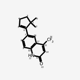 CC1(C)CCC=C1c1ccc2[nH]c(=O)cc(C(F)(F)F)c2c1